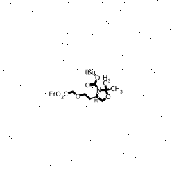 CCOC(=O)COCC[C@@H]1COC(C)(C)N1C(=O)OC(C)(C)C